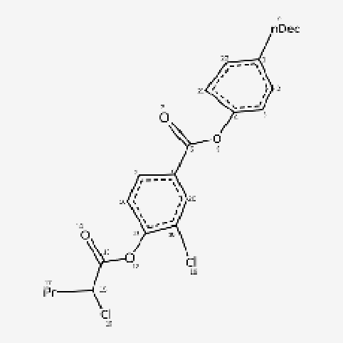 CCCCCCCCCCc1ccc(OC(=O)c2ccc(OC(=O)C(Cl)C(C)C)c(Cl)c2)cc1